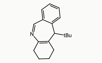 CC(C)(C)C1C2=C(CCCC2)N=Cc2ccccc21